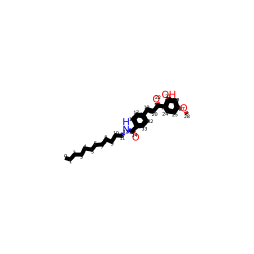 CCCCCCCCCCCCNC(=O)c1ccc(/C=C/C(=O)c2ccc(OC)cc2O)cc1